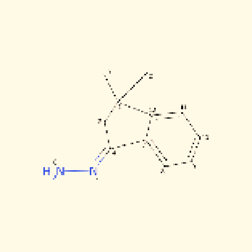 CC1(C)CC(=NN)c2ccccc21